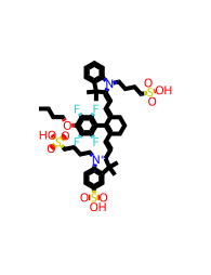 CCCCOc1c(F)c(F)c(C2=C(/C=C/C3=[N+](CCCCS(=O)(=O)O)c4ccc(S(=O)(=O)O)cc4C3(C)C)CCC/C2=C\C=C2\N(CCCCS(=O)(=O)O)c3ccccc3C2(C)C)c(F)c1F